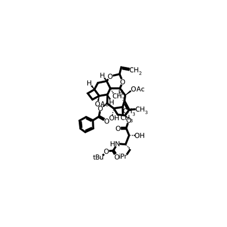 C=CC1O[C@H]2C[C@H]3CC[C@@]3(OC(C)=O)[C@H]3[C@H](OC(=O)c4ccccc4)[C@]4(O)C[C@H](OC(=O)[C@H](O)[C@H](CC(C)C)NC(=O)OC(C)(C)C)C(C)=C([C@H](OC(C)=O)[C@H](O1)[C@]23C)C4(C)C